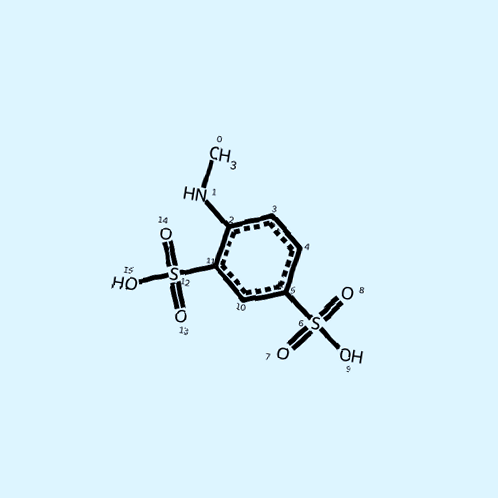 CNc1ccc(S(=O)(=O)O)cc1S(=O)(=O)O